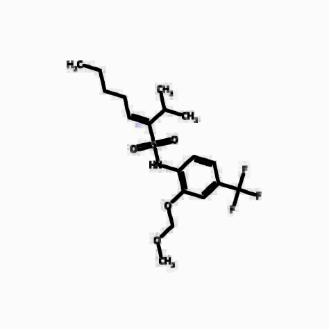 CCCC/C=C(\C(C)C)S(=O)(=O)Nc1ccc(C(F)(F)F)cc1OCOC